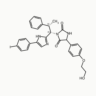 C[C@@H](c1ccccc1)[C@@H](c1ncc(-c2ccc(I)cc2)[nH]1)N1C(=O)NC(c2ccc(OCCO)cc2)C1=O